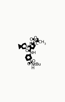 CC(C)(C)NS(=O)(=O)c1cccc(NC(=O)c2ccc(N3C(=O)OCC3(C)C)nc2N2CCC3(CC2)CC3)c1